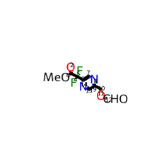 COC(=O)C(F)(F)c1cnc(COC=O)cn1